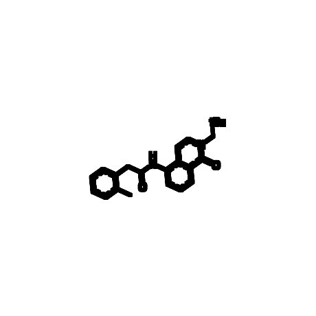 Cc1ccccc1CC(=O)Nc1cccc2c(=O)n(CC(C)(C)C)ccc12